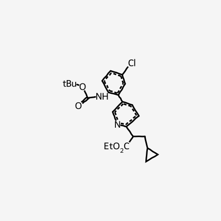 CCOC(=O)C(CC1CC1)c1ccc(-c2cc(Cl)ccc2NC(=O)OC(C)(C)C)cn1